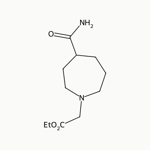 CCOC(=O)CN1CCCC(C(N)=O)CC1